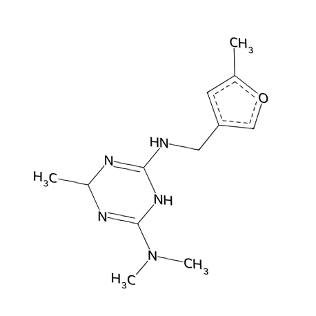 Cc1cc(CNC2=NC(C)N=C(N(C)C)N2)co1